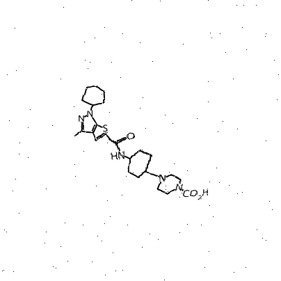 Cc1nn(C2CCCCC2)c2sc(C(=O)NC3CCC(N4CCN(C(=O)O)CC4)CC3)cc12